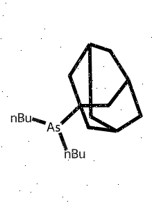 CCCC[As](CCCC)C12CC3CC(CC(C3)C1)C2